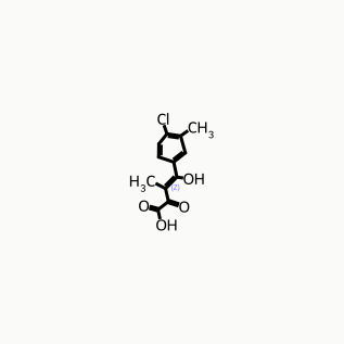 C/C(C(=O)C(=O)O)=C(/O)c1ccc(Cl)c(C)c1